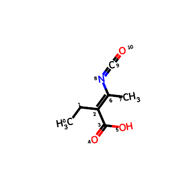 CCC(C(=O)O)=C(C)N=C=O